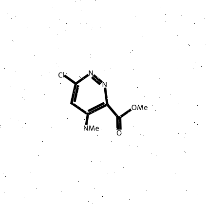 CNc1cc(Cl)nnc1C(=O)OC